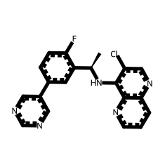 C[C@@H](Nc1c(Cl)cnc2cccnc12)c1cc(-c2cncnc2)ccc1F